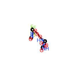 O=C1CCC(N2C(=O)c3cccc(NCCOCCOCCOC4C(F)=C(F)C=CC4c4csc(N5CCOCC5)n4)c3C2=O)C(=O)N1